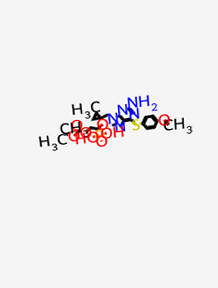 COc1ccc(Sc2nc(N)nc3c2ncn3CC2(OC(COC(=O)OC(C)C)P(=O)(O)O)CC2C)cc1